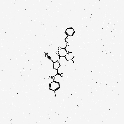 Cc1ccc(NC(=O)C2CC(C#N)N(C(=O)C(CC(C)C)N(C)C(=O)OCc3ccccc3)C2)cc1